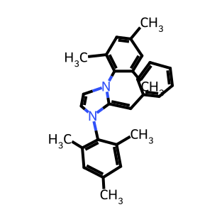 Cc1cc(C)c(N2C=CN(c3c(C)cc(C)cc3C)C2=Cc2ccccc2)c(C)c1